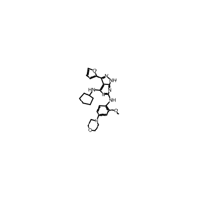 COc1cc(N2CCOCC2)ccc1Nc1nc(NC2CCCCC2)c2c(-c3ccco3)n[nH]c2n1